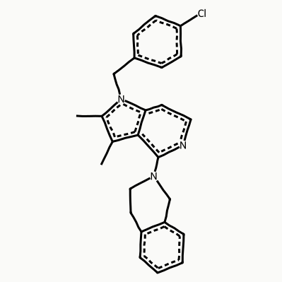 Cc1c(C)n(Cc2ccc(Cl)cc2)c2ccnc(N3CCc4ccccc4C3)c12